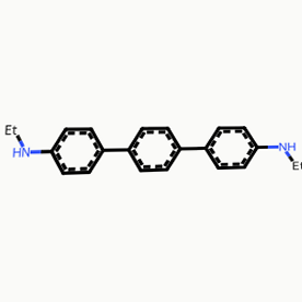 CCNc1ccc(-c2ccc(-c3ccc(NCC)cc3)cc2)cc1